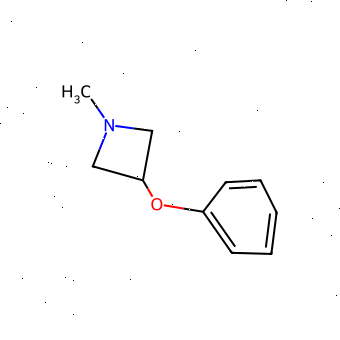 CN1CC(Oc2ccccc2)C1